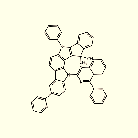 CC1(C)c2ccccc2-c2c1c1c(ccc3c4cc(-c5ccccc5)ccc4n(-c4nc(-c5ccccc5)c5ccccc5n4)c31)n2-c1ccccc1